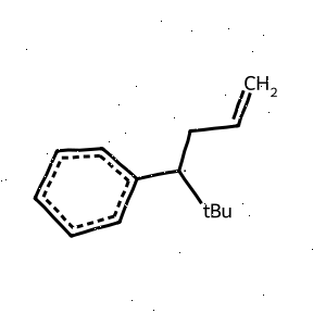 C=CC[C](c1ccccc1)C(C)(C)C